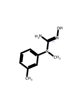 Cc1cccc(N(C)/C(N)=N/O)c1